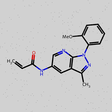 C=CC(=O)Nc1cnc2c(c1)c(C)nn2-c1ccccc1OC